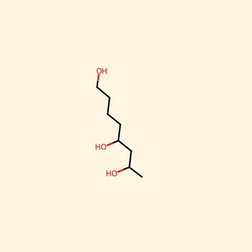 CC(O)CC(O)CCCCO